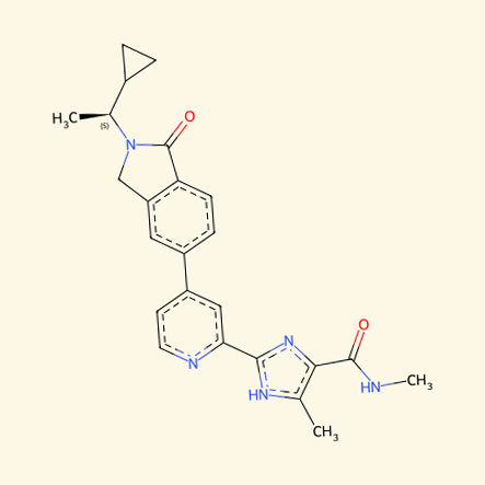 CNC(=O)c1nc(-c2cc(-c3ccc4c(c3)CN([C@@H](C)C3CC3)C4=O)ccn2)[nH]c1C